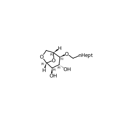 CCCCCCCCO[C@H]1[C@H](O)[C@@H](O)[C@@H]2OC[C@H]1O2